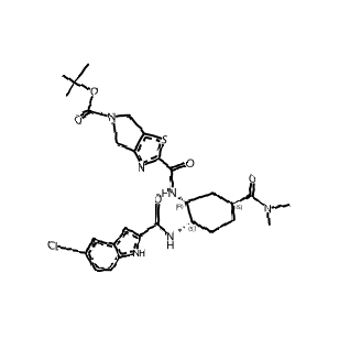 CN(C)C(=O)[C@H]1CC[C@H](NC(=O)c2cc3cc(Cl)ccc3[nH]2)[C@H](NC(=O)c2nc3c(s2)CN(C(=O)OC(C)(C)C)C3)C1